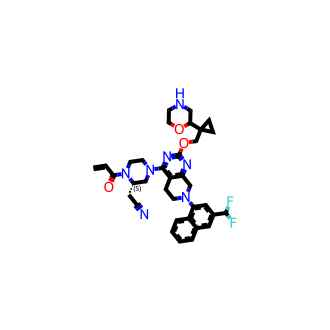 C=CC(=O)N1CCN(c2nc(OCC3(C4CNCCO4)CC3)nc3c2CCN(c2cc(C(F)F)cc4ccccc24)C3)C[C@@H]1CC#N